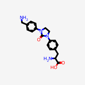 NCc1ccc(N2CCN(c3ccc(CC(N)C(=O)O)cc3)C2=O)cc1